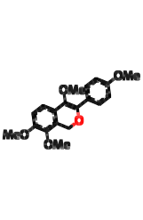 COC1=C(c2ccc(OC)cc2)OCc2c1ccc(OC)c2OC